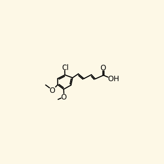 COc1cc(Cl)c(C=CC=CC(=O)O)cc1OC